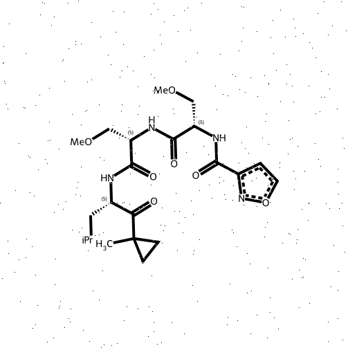 COC[C@H](NC(=O)c1ccon1)C(=O)N[C@@H](COC)C(=O)N[C@@H](CC(C)C)C(=O)C1(C)CC1